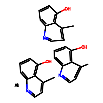 Cc1ccnc2cccc(O)c12.Cc1ccnc2cccc(O)c12.Cc1ccnc2cccc(O)c12.[Al]